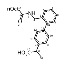 CCCCCCCCC(=O)NCc1ccccc1-c1ccc(C(C)C(=O)O)cc1